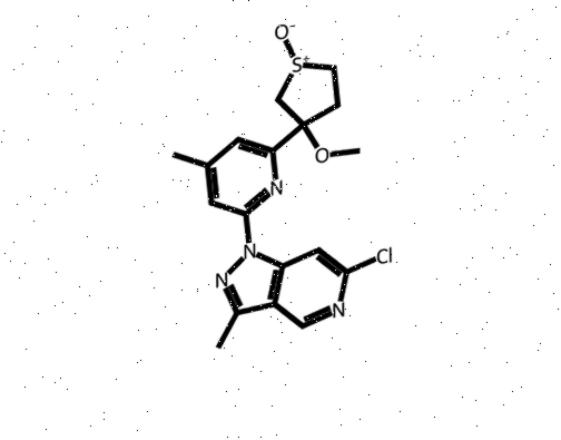 COC1(c2cc(C)cc(-n3nc(C)c4cnc(Cl)cc43)n2)CC[S+]([O-])C1